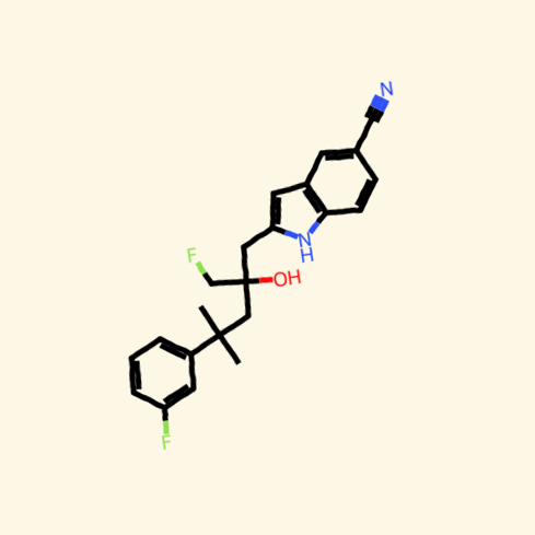 CC(C)(CC(O)(CF)Cc1cc2cc(C#N)ccc2[nH]1)c1cccc(F)c1